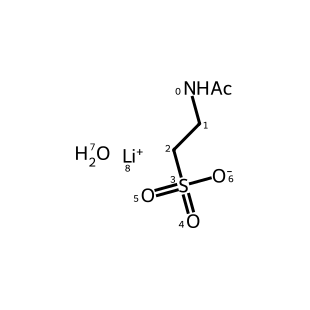 CC(=O)NCCS(=O)(=O)[O-].O.[Li+]